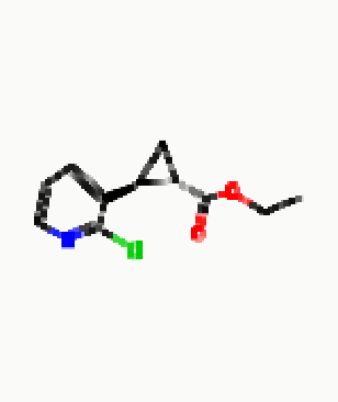 CCOC(=O)[C@H]1C[C@@H]1c1cccnc1Cl